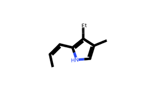 C/C=C\c1[nH]cc(C)c1CC